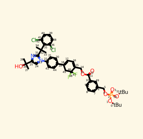 CC(C)(C)OP(=O)(OCc1cccc(C(=O)OCC2=CC=C(c3ccc(-n4cc(C(C)(C)O)nc4C(C)(C)c4c(Cl)cccc4Cl)cc3)CC2(F)F)c1)OC(C)(C)C